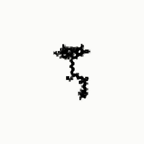 CN(CCCCC[C@@H]1Cc2cc(O)c(F)cc2[C@H]2CC[C@@]3(C)[C@@H](CC[C@]3(C)O)[C@H]12)CCCS(=O)(=O)CCCC(F)(F)C(F)(F)F